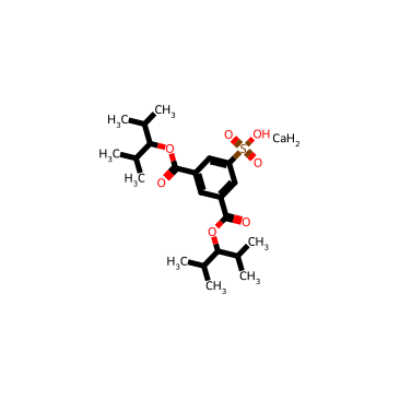 CC(C)C(OC(=O)c1cc(C(=O)OC(C(C)C)C(C)C)cc(S(=O)(=O)O)c1)C(C)C.[CaH2]